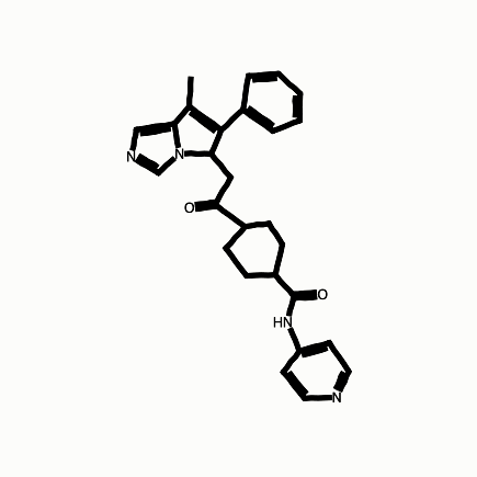 CC1=C(c2ccccc2)C(CC(=O)C2CCC(C(=O)Nc3ccncc3)CC2)n2cncc21